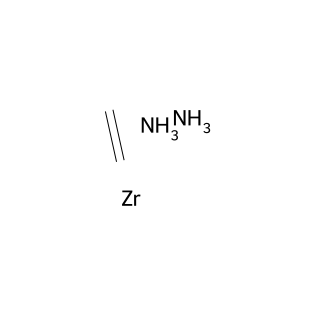 C=C.N.N.[Zr]